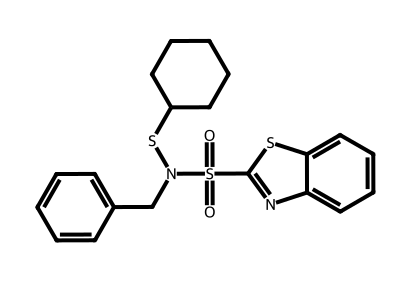 O=S(=O)(c1nc2ccccc2s1)N(Cc1ccccc1)SC1CCCCC1